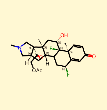 CC(=O)OCC(=O)[C@@]12CN(C)C[C@@H]1C[C@H]1C3C[C@H](F)C4=CC(=O)C=C[C@]4(C)[C@@]3(F)[C@@H](O)C[C@@]12C